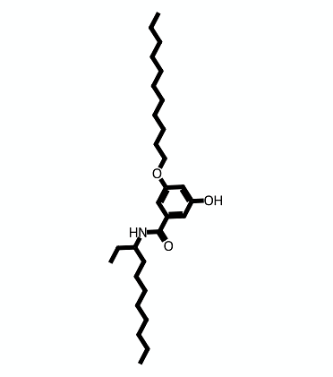 CCCCCCCCCCCOc1cc(O)cc(C(=O)NC(CC)CCCCCCCC)c1